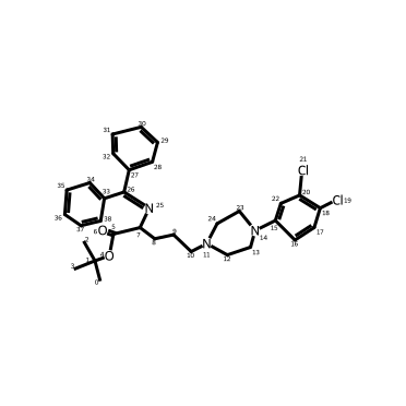 CC(C)(C)OC(=O)C(CCCN1CCN(c2ccc(Cl)c(Cl)c2)CC1)N=C(c1ccccc1)c1ccccc1